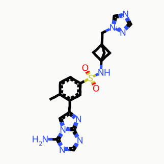 Cc1ccc(S(=O)(=O)NC23CC(Cn4cncn4)(C2)C3)cc1-c1cn2c(N)ncnc2n1